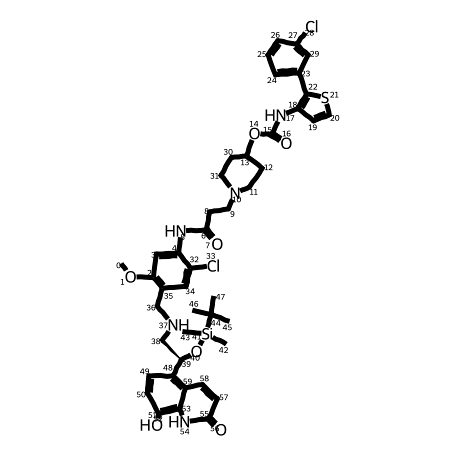 COc1cc(NC(=O)CCN2CCC(OC(=O)Nc3ccsc3-c3cccc(Cl)c3)CC2)c(Cl)cc1CNC[C@@H](O[Si](C)(C)C(C)(C)C)c1ccc(O)c2[nH]c(=O)ccc12